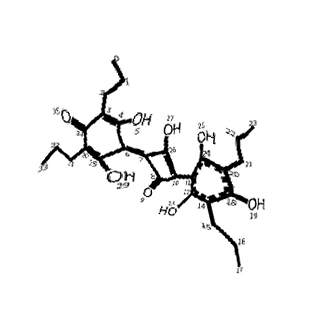 CCCC1=C(O)C(=C2C(=O)C(c3c(O)c(CCC)c(O)c(CCC)c3O)=C2O)C(O)=C(CCC)C1=O